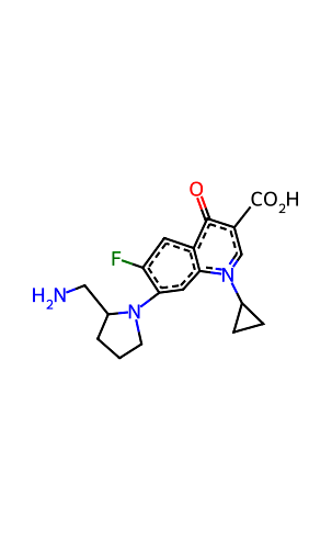 NCC1CCCN1c1cc2c(cc1F)c(=O)c(C(=O)O)cn2C1CC1